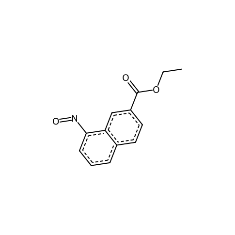 CCOC(=O)c1ccc2cccc(N=O)c2c1